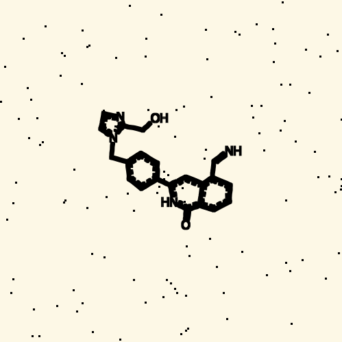 N=Cc1cccc2c(=O)[nH]c(-c3ccc(Cn4ccnc4CO)cc3)cc12